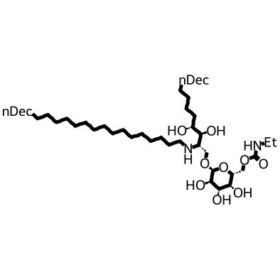 CCCCCCCCCCCCCCCCCCCCCCCCCCN[C@@H](CO[C@H]1O[C@H](COC(=O)NCC)[C@H](O)[C@H](O)[C@H]1O)[C@H](O)[C@H](O)CCCCCCCCCCCCCC